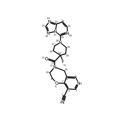 N#Cc1cncc2c1OCCN(C(=O)C1(F)CCN(c3nccc4ncnn34)CC1)C2